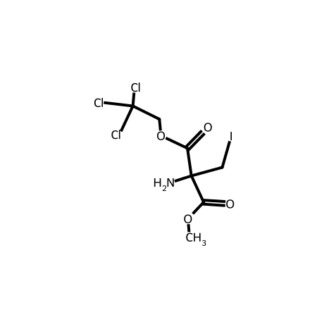 COC(=O)C(N)(CI)C(=O)OCC(Cl)(Cl)Cl